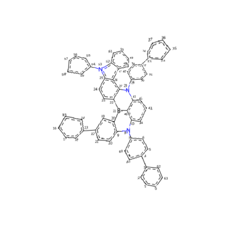 c1ccc(-c2ccc(N3c4ccc(-c5ccccc5)cc4B4c5ccc6c(c5N(c5ccc(-c7ccccc7)cc5)c5cccc3c54)c3ccccc3n6-c3ccccc3)cc2)cc1